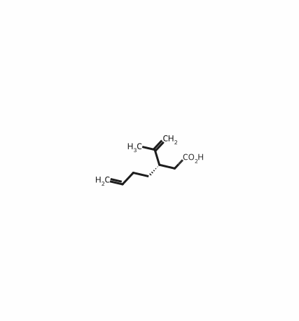 C=CCC[C@@H](CC(=O)O)C(=C)C